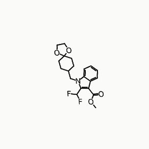 COC(=O)c1c(C(F)F)n(CC2CCC3(CC2)OCCO3)c2ccccc12